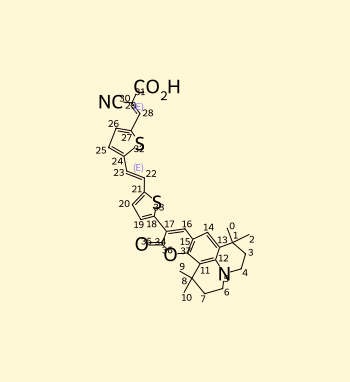 CC1(C)CCN2CCC(C)(C)c3c2c1cc1cc(-c2ccc(/C=C/c4ccc(/C=C(\C#N)C(=O)O)s4)s2)c(=O)oc31